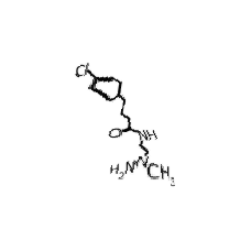 CN(N)CCNC(=O)CCCc1ccc(Cl)cc1